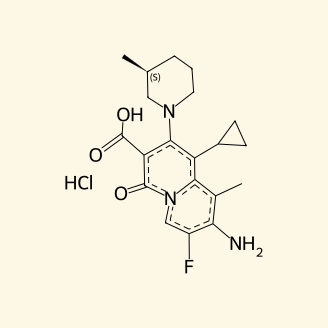 Cc1c(N)c(F)cn2c(=O)c(C(=O)O)c(N3CCC[C@H](C)C3)c(C3CC3)c12.Cl